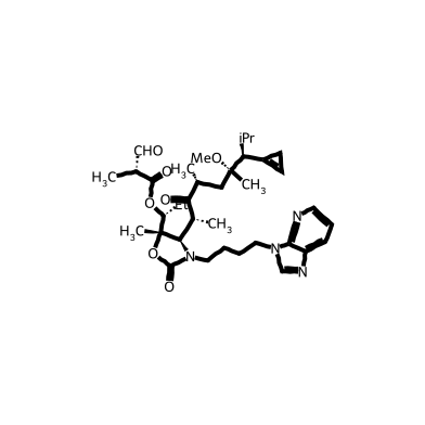 CC[C@@H](OC(=O)[C@H](C)C=O)[C@@]1(C)OC(=O)N(CCCCn2cnc3cccnc32)[C@@H]1[C@@H](C)C(=O)[C@H](C)C[C@@](C)(OC)[C@H](C1=CC1)C(C)C